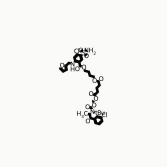 CC(C(=O)c1cccc(Cl)c1)N(C(=O)OCOC(=O)CCCC(=O)OCCCCOC(=O)c1cc(S(N)(=O)=O)c(Cl)cc1NCc1ccco1)C(C)(C)C